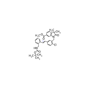 COC(=O)c1ccc2c(c1)N(Cc1cc(/C=C/c3ccccc3CNC(=O)OC(C)(C)C)ccc1Cl)C(=O)C2(C)C